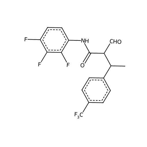 CC(c1ccc(C(F)(F)F)cc1)C(C=O)C(=O)Nc1ccc(F)c(F)c1F